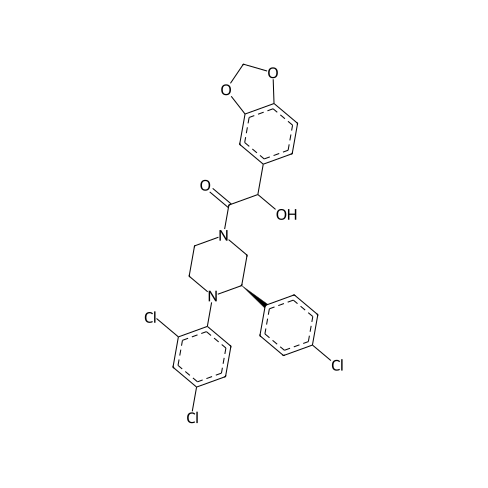 O=C(C(O)c1ccc2c(c1)OCO2)N1CCN(c2ccc(Cl)cc2Cl)[C@H](c2ccc(Cl)cc2)C1